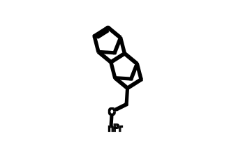 CCCOCC1CC2CC1C1C3C=CC(C3)C21